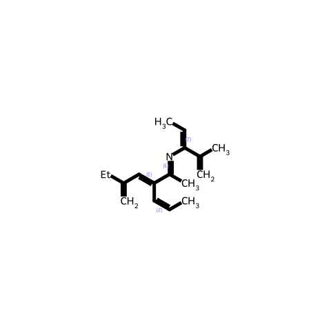 C=C(/C=C(\C=C/C)C(/C)=N/C(=C\C)C(=C)C)CC